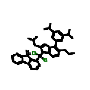 CCCc1ccc2c(c1-c1cc(C(C)C)cc(C(C)C)c1)C=C(CC(C)C)[CH]2[Zr]([Cl])([Cl])[c]1cccc2c1[SiH2]c1ccccc1-2